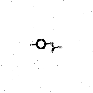 [NH]C(=O)Nc1ccc(F)cc1